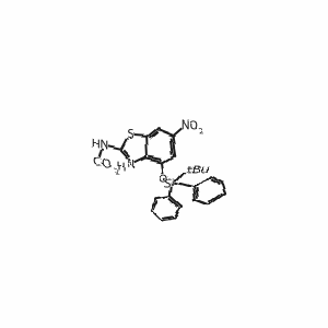 CC(C)(C)[Si](Oc1cc([N+](=O)[O-])cc2sc(NC(=O)O)nc12)(c1ccccc1)c1ccccc1